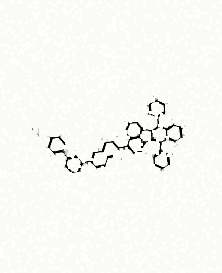 N#Cc1ccc(-c2cccc(-c3ccc4cc(-c5ccc6c7c(cccc57)-c5c-6c(-c6ccccc6)c6ccccc6c5-c5ccccc5)ccc4c3)c2)cc1